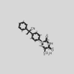 CC(C#N)(c1ccccc1)c1ccc(-n2nc(C(=O)O)c(=O)[nH]c2=O)cc1